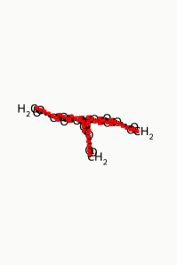 C=CC(=O)OCCCCCCOc1ccc(OC(=O)C2CCC(COc3ccc4c(c3)nc(Oc3ccc(OCCCCCCOC(=O)C=C)cc3)c3cc(OCC5CCC(C(=O)Oc6ccc(OCCCCCCOC(=O)C=C)cc6)CC5)ccc34)CC2)cc1